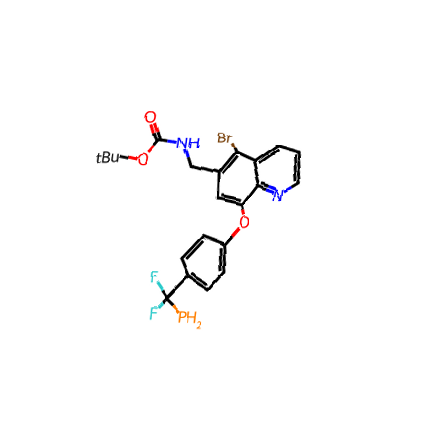 CC(C)(C)OC(=O)NCc1cc(Oc2ccc(C(F)(F)P)cc2)c2ncccc2c1Br